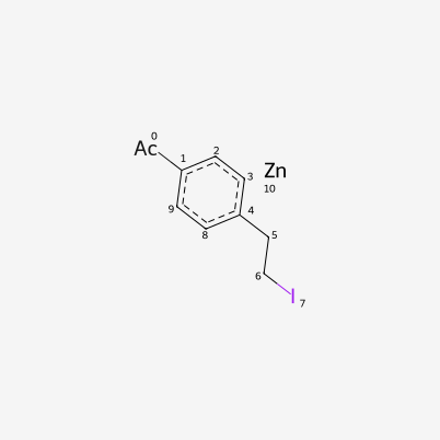 CC(=O)c1ccc(CCI)cc1.[Zn]